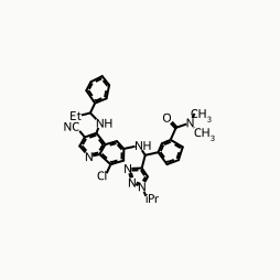 CCC(Nc1c(C#N)cnc2c(Cl)cc(NC(c3cccc(C(=O)N(C)C)c3)c3cn(C(C)C)nn3)cc12)c1ccccc1